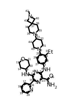 CCc1cc(Nc2nc(NC3CCOCC3)c(-c3ccccn3)nc2C(N)=O)ccc1N1CCC(N2CCC3(CC2)CN(C)C3)CC1